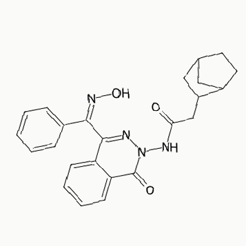 O=C(CC1CC2CCC1C2)Nn1nc(/C(=N\O)c2ccccc2)c2ccccc2c1=O